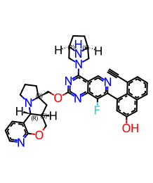 C#Cc1cccc2cc(O)cc(-c3ncc4c(N5C[C@H]6CC[C@@H](C5)N6)nc(OC[C@]56CCCN5[C@H]5c7cccnc7OC[C@H]5C6)nc4c3F)c12